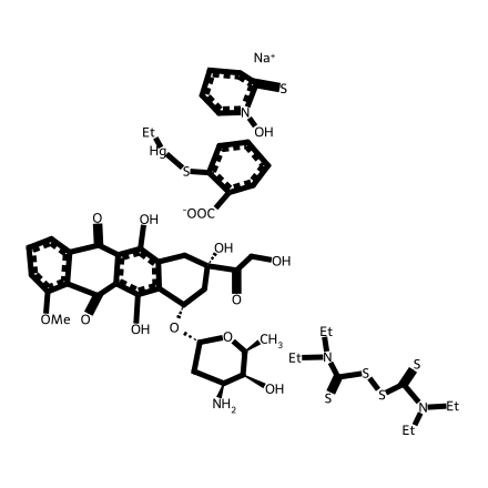 CCN(CC)C(=S)SSC(=S)N(CC)CC.COc1cccc2c1C(=O)c1c(O)c3c(c(O)c1C2=O)C[C@@](O)(C(=O)CO)C[C@@H]3O[C@H]1C[C@H](N)[C@H](O)[C@H](C)O1.C[CH2][Hg][S]c1ccccc1C(=O)[O-].On1ccccc1=S.[Na+]